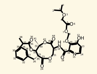 CC(C)OCC(=O)OCOc1c(O)ccnc1C(=O)NC1COC(=O)[C@H](Cc2ccccc2)C(OC(=O)C(C)C)[C@H](C)OC1=O